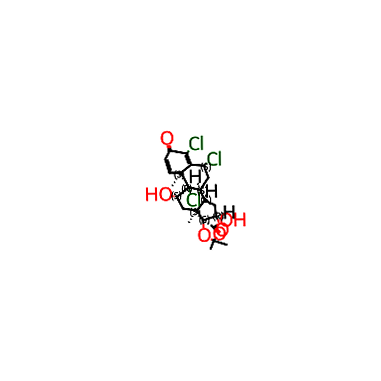 CC1(C)O[C@@H]2C[C@H]3[C@@H]4C[C@H](Cl)C5=C(Cl)C(=O)C=C[C@]5(C)[C@@]4(Cl)[C@@H](O)C[C@]3(C)[C@]2(C(=O)O)O1